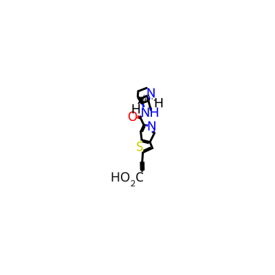 C[C@H]1[C@H](NC(=O)c2cc3sc(C#CC(=O)O)cc3cn2)C2CCN1CC2